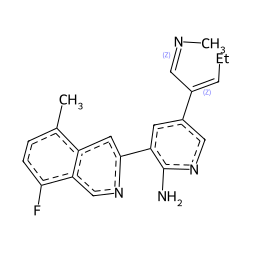 CC/C=C(\C=N/C)c1cnc(N)c(-c2cc3c(C)ccc(F)c3cn2)c1